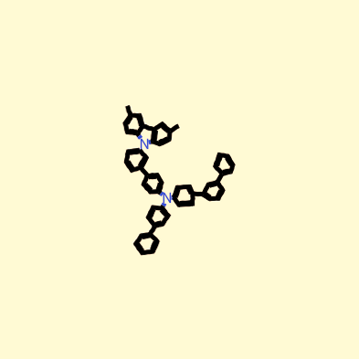 Cc1ccc2c(c1)c1cc(C)ccc1n2-c1cccc(-c2ccc(N(c3ccc(-c4ccccc4)cc3)c3ccc(-c4cccc(-c5ccccc5)c4)cc3)cc2)c1